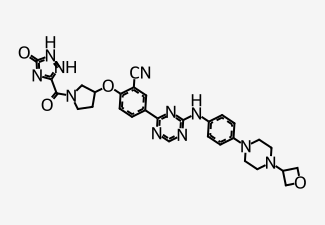 N#Cc1cc(-c2ncnc(Nc3ccc(N4CCN(C5COC5)CC4)cc3)n2)ccc1OC1CCN(C(=O)c2nc(=O)[nH][nH]2)C1